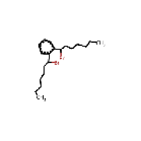 CCCCCCC(Br)c1ccccc1C(Br)CCCCCC